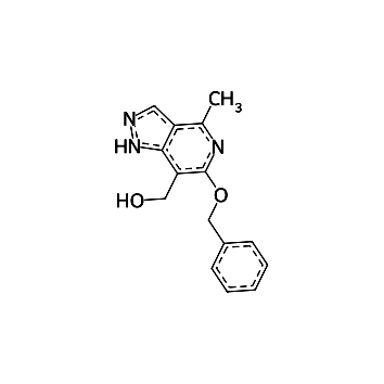 Cc1nc(OCc2ccccc2)c(CO)c2[nH]ncc12